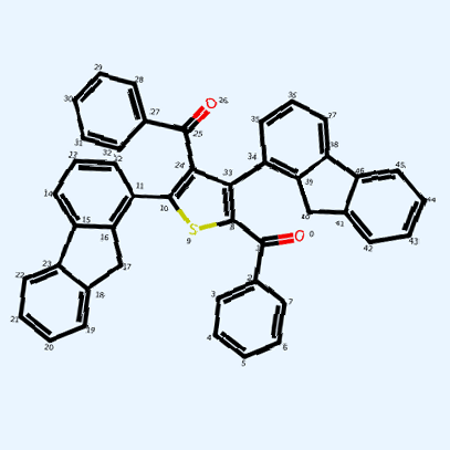 O=C(c1ccccc1)c1sc(-c2cccc3c2Cc2ccccc2-3)c(C(=O)c2ccccc2)c1-c1cccc2c1Cc1ccccc1-2